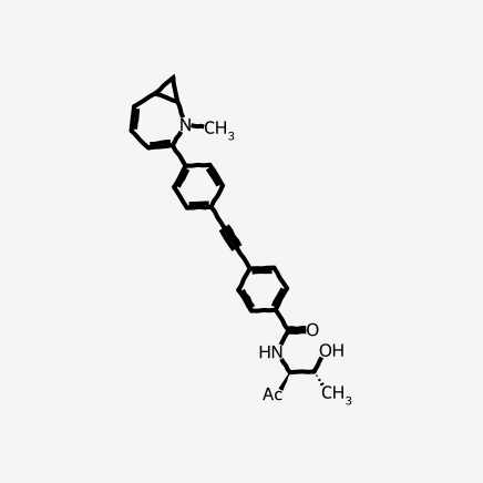 CC(=O)[C@@H](NC(=O)c1ccc(C#Cc2ccc(C3=CC=CC4CC4N3C)cc2)cc1)[C@@H](C)O